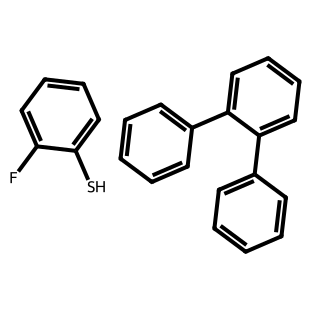 Fc1ccccc1S.c1ccc(-c2ccccc2-c2ccccc2)cc1